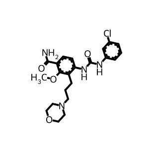 COc1c(C(N)=O)ccc(NC(=O)Nc2cccc(Cl)c2)c1CCCN1CCOCC1